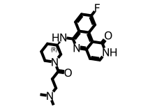 CN(C)CCC(=O)N1CCC[C@@H](Nc2nc3cc[nH]c(=O)c3c3cc(F)ccc23)C1